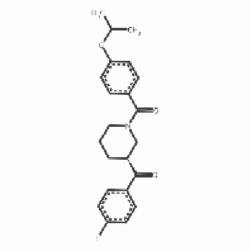 CC(C)Oc1ccc(C(=O)N2CCC[C@H](C(=O)c3ccc(F)cc3)C2)cc1